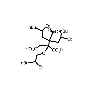 CCCCC(CC)COC(CC(=O)O)(C(=O)O)C(CC(CC)CCCC)(CC(CC)CCCC)C(=O)OC(C)=O